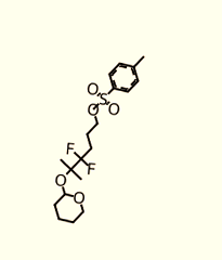 Cc1ccc(S(=O)(=O)OCCCC(F)(F)C(C)(C)OC2CCCCO2)cc1